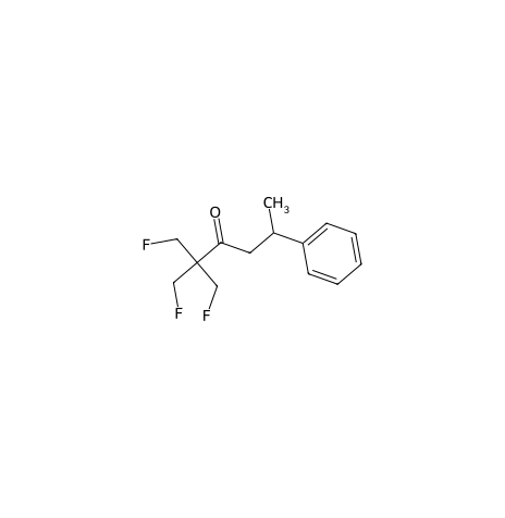 CC(CC(=O)C(CF)(CF)CF)c1ccccc1